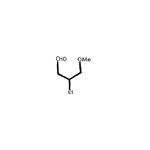 CCC([CH]OC)CC=O